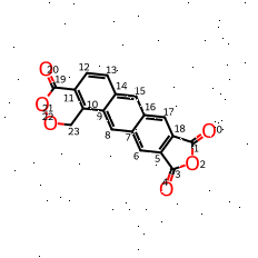 O=C1OC(=O)c2cc3cc4c5c(ccc4cc3cc21)C(=O)OOC5